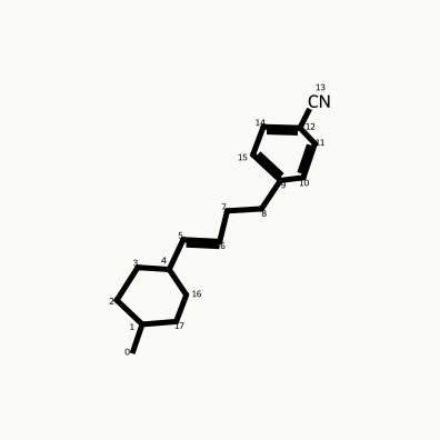 CC1CCC(C=CCCc2ccc(C#N)cc2)CC1